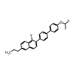 CCCc1ccc2c(F)c(-c3ccc(-c4ccc(OC(F)F)cc4)cc3)ccc2c1